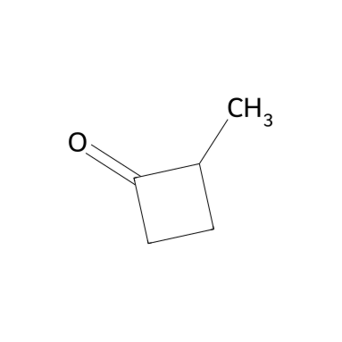 CC1CCC1=O